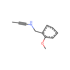 CC#CNCc1ccccc1OC